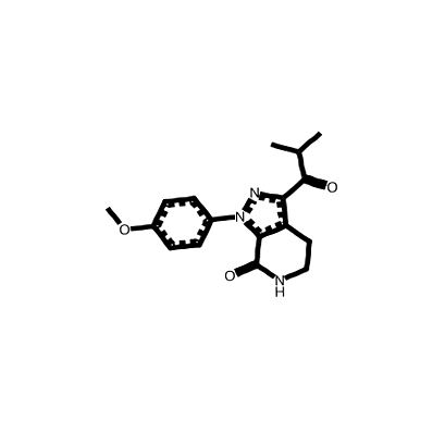 COc1ccc(-n2nc(C(=O)C(C)C)c3c2C(=O)NCC3)cc1